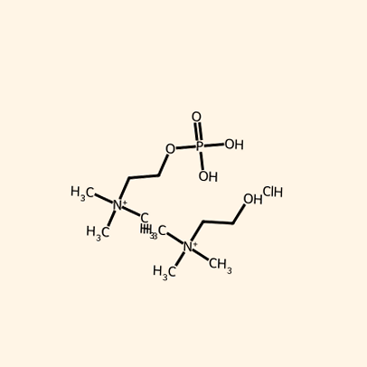 C[N+](C)(C)CCO.C[N+](C)(C)CCOP(=O)(O)O.Cl